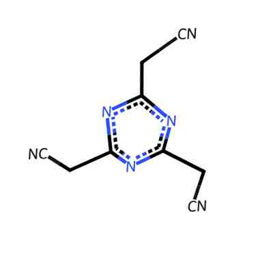 N#CCc1nc(CC#N)nc(CC#N)n1